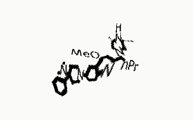 CCCC(c1cc(OC)c2cc(N3CCC(c4ccccc4)(N(C)C)CC3)ccc2n1)N1C[C@@H](C)N[C@@H](C)C1